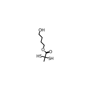 CC(S)(S)C(=O)OCCCCO